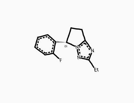 CCc1nc2n(n1)[C@H](c1ccccc1F)CC2